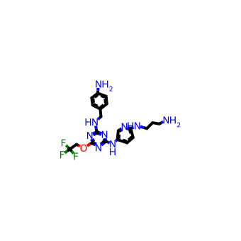 NCCCNc1ccc(Nc2nc(NCc3ccc(N)cc3)nc(OCC(F)(F)F)n2)cn1